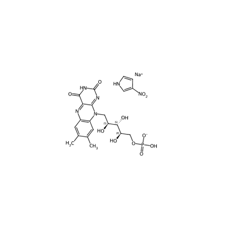 Cc1cc2nc3c(=O)[nH]c(=O)nc-3n(C[C@H](O)[C@H](O)[C@H](O)COP(=O)([O-])O)c2cc1C.O=[N+]([O-])c1cc[nH]c1.[Na+]